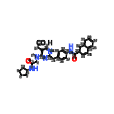 CN(CC(=O)NC1CCCC1)c1nc(Cc2ccc(NC(=O)c3ccc4ccccc4c3)cc2)ncc1CC(=O)O